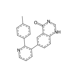 Cc1ccc(-c2ncccc2-c2ccc3[nH]cnc(=O)c3c2)cc1